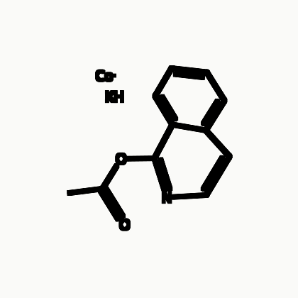 CC(=O)Oc1nccc2ccccc12.[Co].[KH]